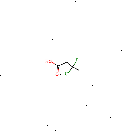 CC(F)(Cl)CC(=O)O